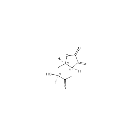 C=C1C(=O)O[C@@H]2C[C@](C)(O)C(=O)C[C@H]12